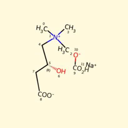 C[N+](C)(C)C[C@H](O)CC(=O)[O-].O=C([O-])O.[Na+]